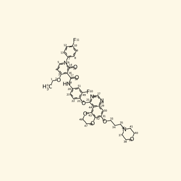 CCOc1ccn(-c2ccc(F)cc2)c(=O)c1C(=O)Nc1ccc(Oc2ncnc3cc(OCCCN4CCOCC4)c4c(c23)OCCO4)c(F)c1